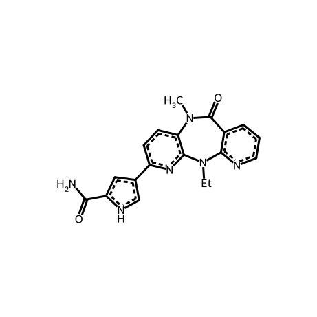 CCN1c2ncccc2C(=O)N(C)c2ccc(-c3c[nH]c(C(N)=O)c3)nc21